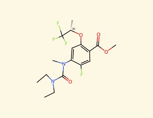 CCN(CC)C(=O)N(C)c1cc(O[C@@H](C)C(F)(F)F)c(C(=O)OC)cc1F